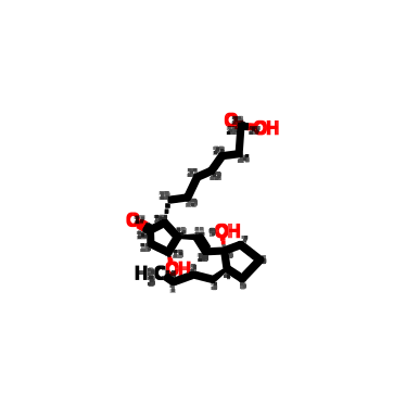 CCCC[C@@H]1CCC[C@]1(O)C=C[C@H]1[C@H](O)CC(=O)[C@@H]1CCCCCCC(=O)O